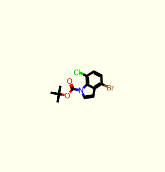 CC(C)(C)OC(=O)n1ccc2c(Br)ccc(Cl)c21